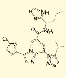 CCC[C@H](NC(=O)c1cc(-n2nncc2C(C)C)c2ncc(-c3ccc(Cl)s3)n2c1)c1nnc[nH]1